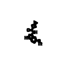 CCOc1ccc2[nH]cc(NC(=O)C3CC4(CC4)C3)c2c1